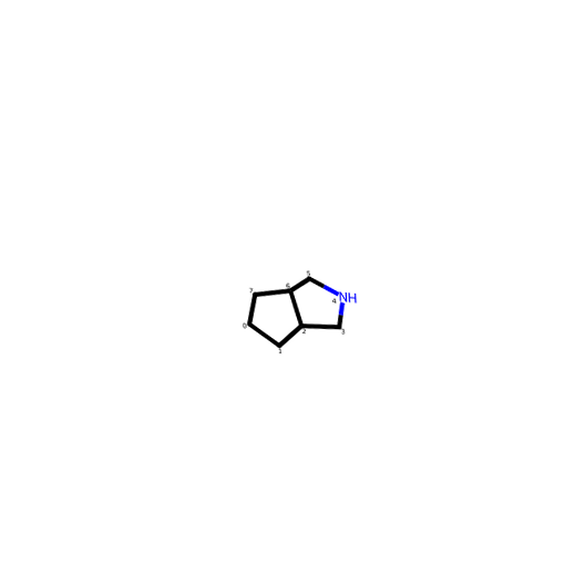 C1CC2CNCC2C1